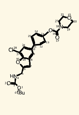 CC(C)(C)OC(=O)NCc1cc2cc(-c3ccc(OC(=O)N4CCOCC4)cc3)cc(Cl)c2o1